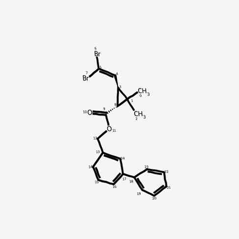 CC1(C)[C@H](C=C(Br)Br)[C@H]1C(=O)OCc1cccc(-c2ccccc2)c1